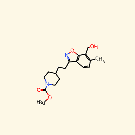 Cc1ccc2c(CCC3CCN(C(=O)OC(C)(C)C)CC3)noc2c1CO